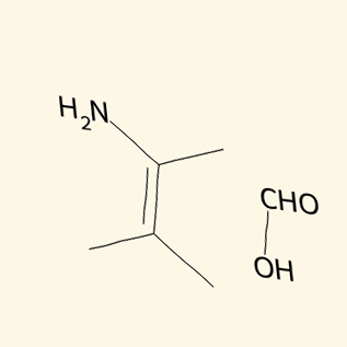 CC(C)=C(C)N.O=CO